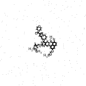 CCc1c(F)ccc2cc(OCOC)cc(N3CCc4c(nc(OCC5(CN(C)C)CC5)nc4N4CCCn5nc(C(=O)N6CCOCC6)cc5C4)C3)c12